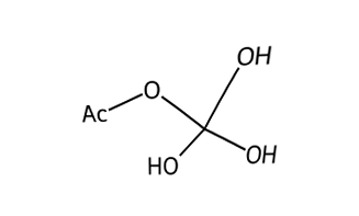 CC(=O)OC(O)(O)O